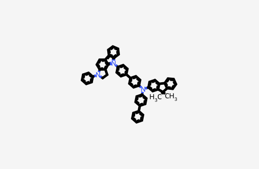 CC1(C)c2ccccc2-c2ccc(N(c3ccc(-c4ccccc4)cc3)c3ccc(-c4ccc(-n5c6ccccc6c6ccc7c(c65)CCN7c5ccccc5)cc4)cc3)cc21